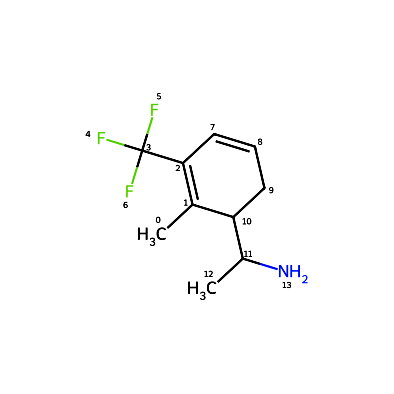 CC1=C(C(F)(F)F)C=CCC1C(C)N